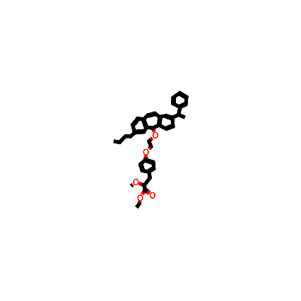 CCCCc1ccc2c(c1)C(OCCOc1ccc(CC(OC)C(=O)OCC)cc1)c1ccc(C(C)c3ccccc3)cc1C=C2